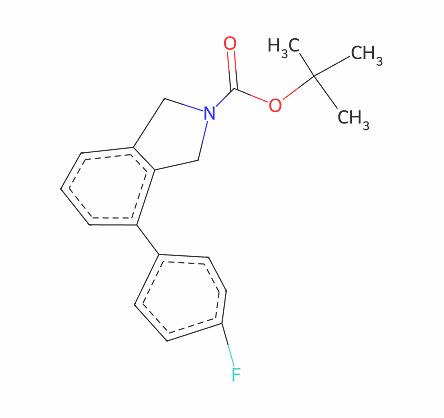 CC(C)(C)OC(=O)N1Cc2cccc(-c3ccc(F)cc3)c2C1